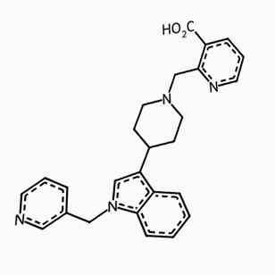 O=C(O)c1cccnc1CN1CCC(c2cn(Cc3cccnc3)c3ccccc23)CC1